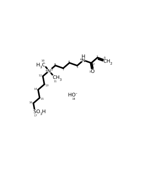 C=CC(=O)NCCCC[N+](C)(C)CCCCCS(=O)(=O)O.[OH-]